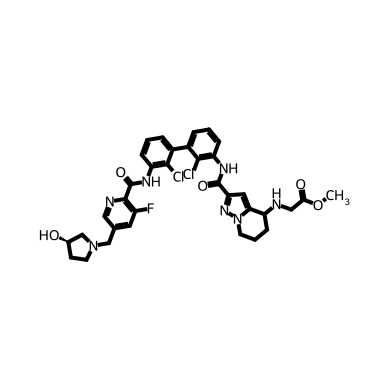 COC(=O)CNC1CCCn2nc(C(=O)Nc3cccc(-c4cccc(NC(=O)c5ncc(CN6CC[C@@H](O)C6)cc5F)c4Cl)c3Cl)cc21